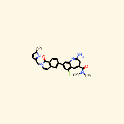 CCCC1C=CC(Cn2ccc3cc(-c4cc(F)c5c(c4)N=C(N)CC(C(=O)N(CCC)CCC)=C5)ccc3c2=O)=N1